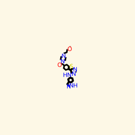 COCCCN1CCN(C(=O)C2CCc3c(sc4ncnc(Nc5ccc6[nH]ncc6c5)c34)C2)CC1